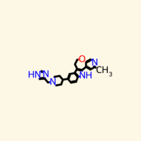 Cc1cc2c(cn1)OCCc1c-2[nH]c2ccc(C3CCN(Cc4c[nH]cn4)CC3)cc12